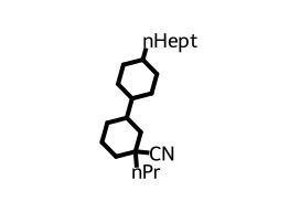 CCCCCCCC1CCC(C2CCCC(C#N)(CCC)C2)CC1